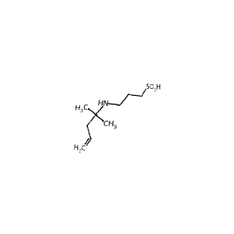 C=CCC(C)(C)NCCCS(=O)(=O)O